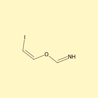 N=CO/C=C\I